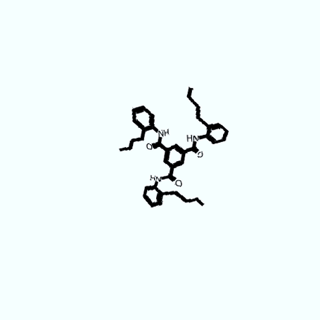 CCCCc1ccccc1NC(=O)c1cc(C(=O)Nc2ccccc2CCCC)cc(C(=O)Nc2ccccc2CCCC)c1